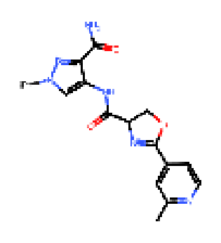 Cc1cc(C2=NC(C(=O)Nc3cn(C(C)C)nc3C(N)=O)CO2)ccn1